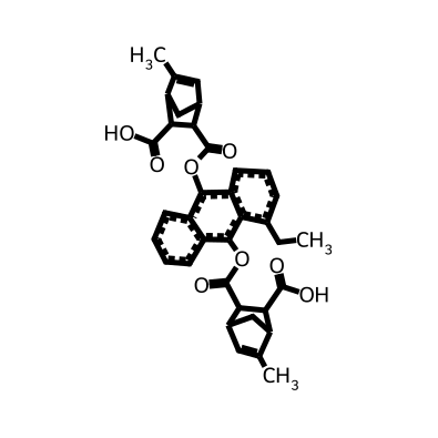 CCc1cccc2c(OC(=O)C3C4C=C(C)C(C4)C3C(=O)O)c3ccccc3c(OC(=O)C3C4C=C(C)C(C4)C3C(=O)O)c12